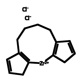 C1=CC2=[C](C1)[Zr+2][C]1=C(C=CC1)CCCC2.[Cl-].[Cl-]